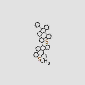 CC12CC=CC(c3c4ccccc4c(-c4cccc5c4sc4cccc(-c6c7ccccc7c(-c7ccccc7)c7ccccc67)c45)c4ccccc34)=C1c1ccccc1S2